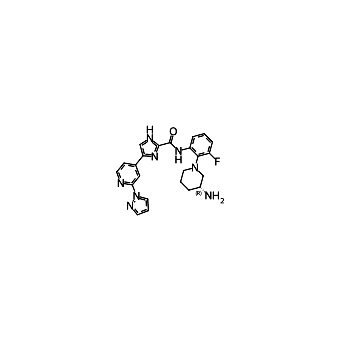 N[C@@H]1CCCN(c2c(F)cccc2NC(=O)c2nc(-c3ccnc(-n4cccn4)c3)c[nH]2)C1